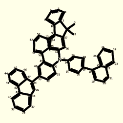 CC1(C)c2ccccc2-c2ccc(N(c3ccc(-c4cccc5ccccc45)cc3)c3ccc(-c4cc5ccccc5c5ccccc45)cc3-c3ccccc3)cc21